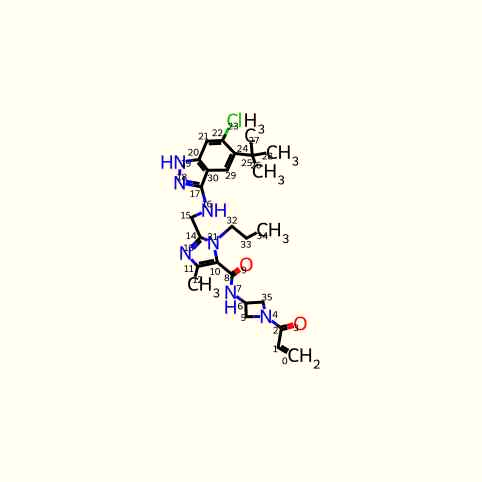 C=CC(=O)N1CC(NC(=O)c2c(C)nc(CNc3n[nH]c4cc(Cl)c(C(C)(C)C)cc34)n2CCC)C1